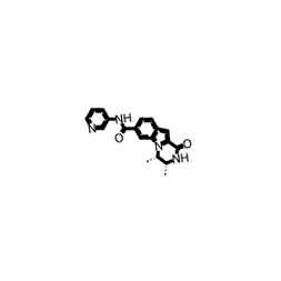 C[C@H]1NC(=O)c2cc3ccc(C(=O)Nc4cccnc4)cc3n2[C@H]1C